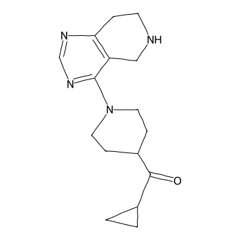 O=C(C1CC1)C1CCN(c2ncnc3c2CNCC3)CC1